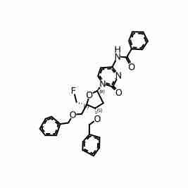 O=C(Nc1ccn([C@H]2C[C@H](OCc3ccccc3)[C@@](CF)(COCc3ccccc3)O2)c(=O)n1)c1ccccc1